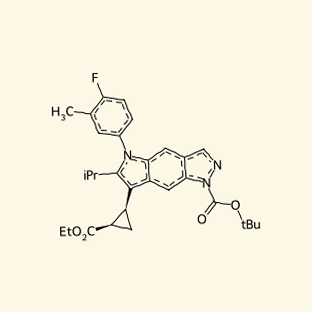 CCOC(=O)[C@@H]1C[C@@H]1c1c(C(C)C)n(-c2ccc(F)c(C)c2)c2cc3cnn(C(=O)OC(C)(C)C)c3cc12